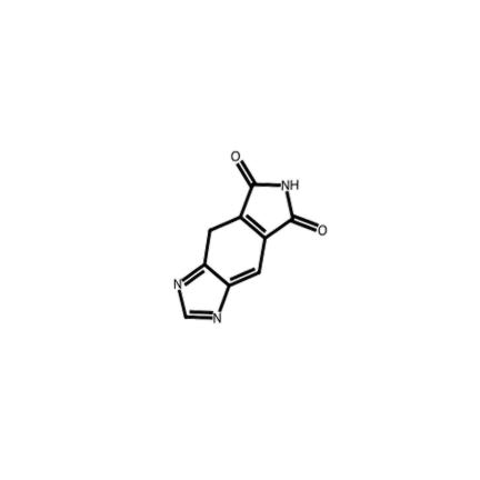 O=C1NC(=O)C2=C1C=C1N=CN=C1C2